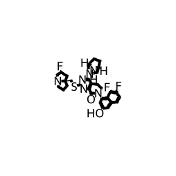 O=C1c2nc(SC[C@@]34CCCN3C[C@H](F)C4)nc(N3C[C@H]4CC[C@@H](C3)N4)c2CCN1c1cc(O)cc2ccc(F)c(F)c12